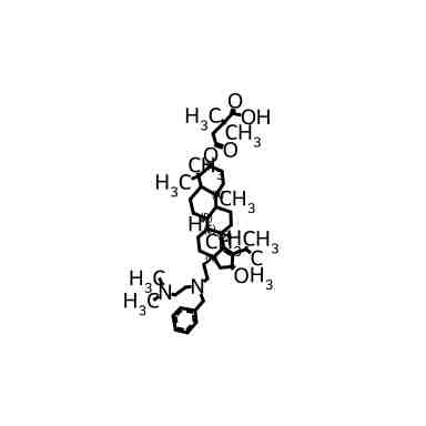 CC(C)C1=C2[C@H]3CCC4[C@@H](CCC5C(C)(C)[C@@H](OC(=O)CC(C)(C)C(=O)O)CC[C@]45C)[C@]3(C)CC[C@@]2(CCN(CCN(C)C)Cc2ccccc2)CC1=O